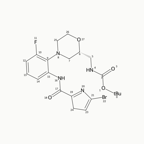 CC(C)(C)OC(=O)NC[C@@H]1CN(c2c(F)cccc2NC(=O)C2=NC(Br)=CC2)CCO1